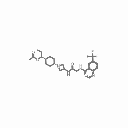 CCC(OC(C)=O)[C@H]1CC[C@H](N2CC(NC(=O)CNc3ncnc4ccc(C(F)(F)F)cc34)C2)CC1